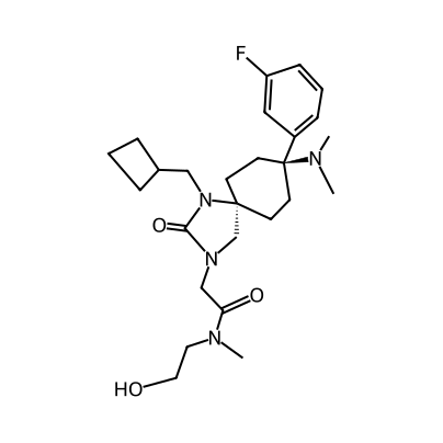 CN(CCO)C(=O)CN1C[C@]2(CC[C@](c3cccc(F)c3)(N(C)C)CC2)N(CC2CCC2)C1=O